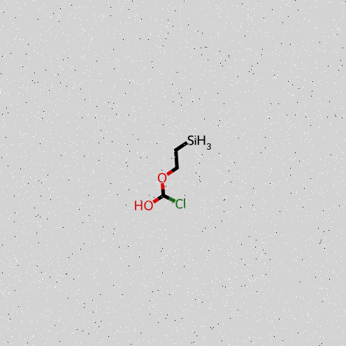 OC(Cl)OCC[SiH3]